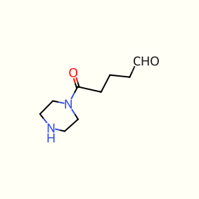 O=CCCCC(=O)N1CCNCC1